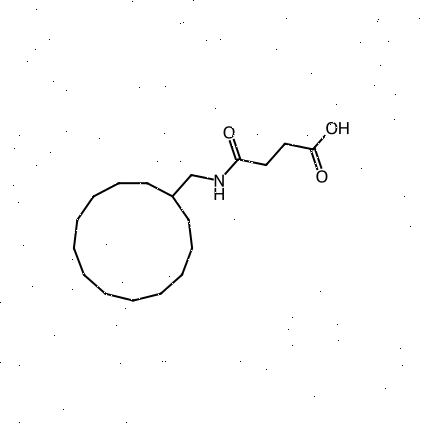 O=C(O)CCC(=O)NCC1CCCCCCCCCCCC1